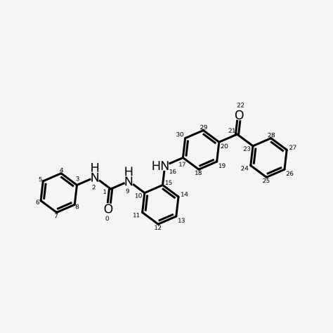 O=C(Nc1ccccc1)Nc1ccccc1Nc1ccc(C(=O)c2ccccc2)cc1